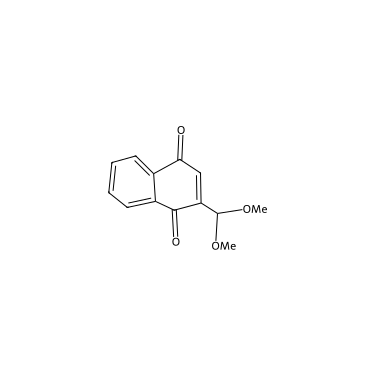 COC(OC)C1=CC(=O)c2ccccc2C1=O